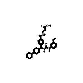 CCc1cccc(NC(=O)NC(c2ccc(C(=O)NCCC(=O)O)cc2)C2CCC(C3CCCCC3)CC2)c1